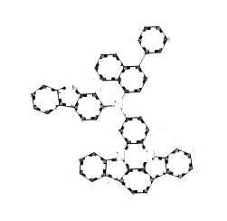 c1ccc(-c2ccc(N(c3ccc4c(c3)sc3ccccc34)c3ccc4c(c3)n3c5ccccc5c5ccc6c7ccccc7n4c6c53)c3ccccc23)cc1